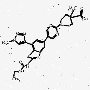 CCNC(=O)Nc1nc2cc(-c3cnc(N4CCC(C)(C(=O)O)CC4)nc3)cc(-c3cn(C)nn3)c2s1